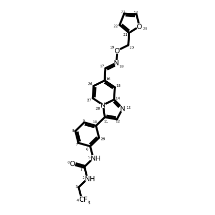 O=C(NCC(F)(F)F)Nc1cccc(-c2cnc3cc(C=NOCc4ccco4)ccn23)c1